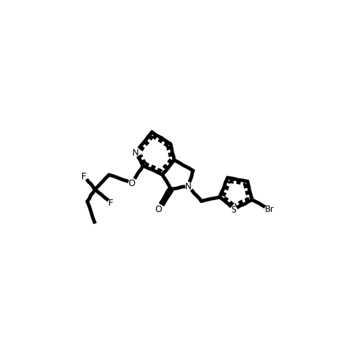 CCC(F)(F)COc1nccc2c1C(=O)N(Cc1ccc(Br)s1)C2